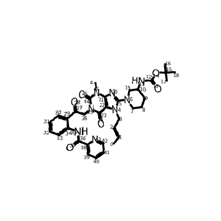 CC=CCn1c(N2CCCC(NC(=O)OC(C)(C)C)C2)nc2c1c(=O)n(CC(=O)c1ccccc1NC(=O)c1ccccn1)c(=O)n2C